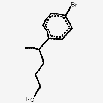 CC(CCCO)c1ccc(Br)cc1